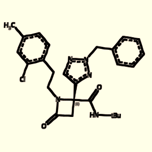 Cc1ccc(CCN2C(=O)C[C@]2(C(=O)NC(C)(C)C)c2cnn(Cc3ccccc3)n2)c(Cl)c1